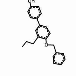 CCCc1cc(-c2ccc(O)cc2)ccc1OCc1ccccc1